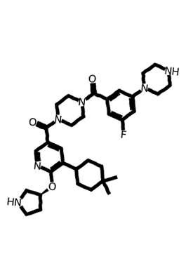 CC1(C)CCC(c2cc(C(=O)N3CCN(C(=O)c4cc(F)cc(N5CCNCC5)c4)CC3)cnc2O[C@H]2CCNC2)CC1